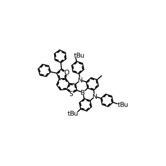 Cc1cc2c3c(c1)N(c1ccc(C(C)(C)C)cc1)c1c(sc4ccc5c(-c6ccccc6)c(-c6ccccc6)oc5c14)B3c1cc(C(C)(C)C)ccc1N2c1ccc(C(C)(C)C)cc1